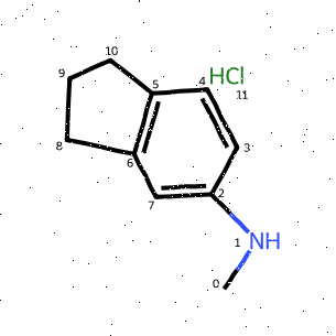 CNc1ccc2c(c1)CCC2.Cl